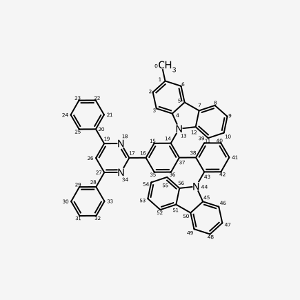 Cc1ccc2c(c1)c1ccccc1n2-c1cc(-c2nc(-c3ccccc3)cc(-c3ccccc3)n2)ccc1-c1ccccc1-n1c2ccccc2c2ccccc21